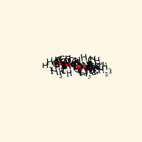 COC(=O)N[C@H](C(=O)N1C[C@@H](C)C[C@H]1c1nc(Cl)c(-c2cc3c4c(c2)OCc2cc(-c5[nH]c([C@@H]6C[C@H](C)CN6C(=O)[C@@H](NC(=O)OC)C(C)C)nc5C(C)C)cc(c2-4)OC3)[nH]1)C(C)C